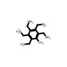 BCc1c(C)c(CB)c(CB)c(CB)c1CB